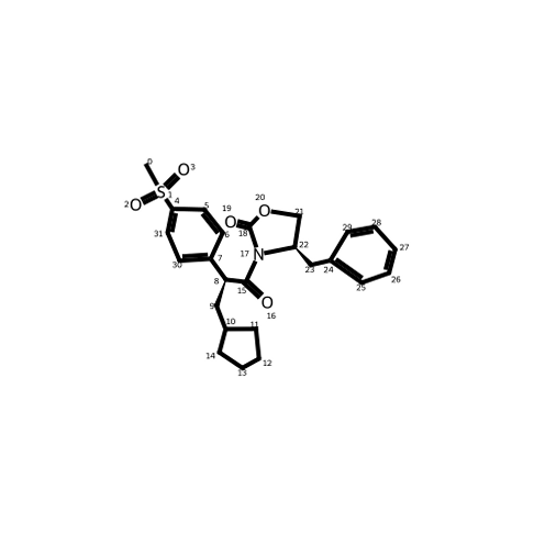 CS(=O)(=O)c1ccc([C@H](CC2CCCC2)C(=O)N2C(=O)OC[C@H]2Cc2ccccc2)cc1